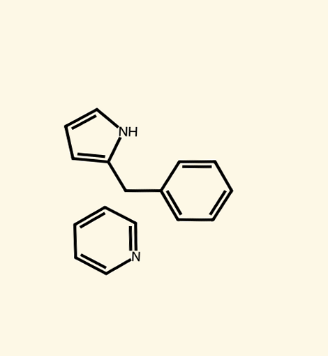 c1ccc(Cc2ccc[nH]2)cc1.c1ccncc1